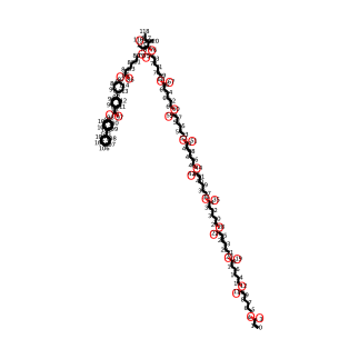 C=CC(=O)OCCCCCC(=O)OCCCCCC(=O)OCCCCCC(=O)OCCCCCC(=O)OCCCCCC(=O)OCCCCCC(=O)OCCCCCC(=O)OCCCCCC(=O)OCCCCCC(=O)OC1=C(OCCCCCC(=O)O[C@H]2CC[C@H](c3ccc(C(=O)Oc4ccc(-c5ccccc5)cc4)cc3)CC2)COC(C)=C1C